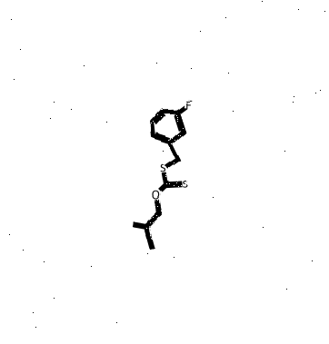 CC(C)COC(=S)SCc1cccc(F)c1